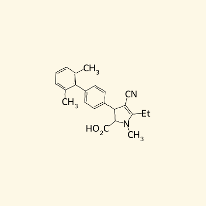 CCC1=C(C#N)C(c2ccc(-c3c(C)cccc3C)cc2)C(C(=O)O)N1C